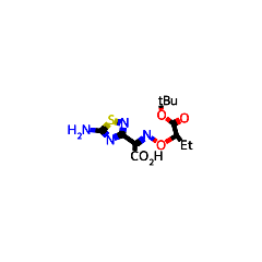 CCC(ON=C(C(=O)O)c1nsc(N)n1)C(=O)OC(C)(C)C